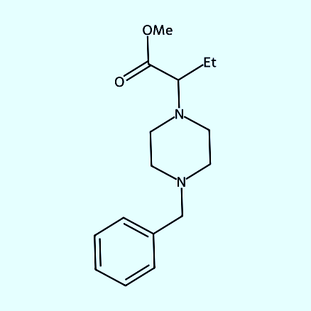 CCC(C(=O)OC)N1CCN(Cc2ccccc2)CC1